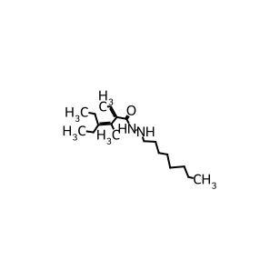 C/C=C(/C(=O)NNCCCCCCCC)C(C)=C(CC)CC